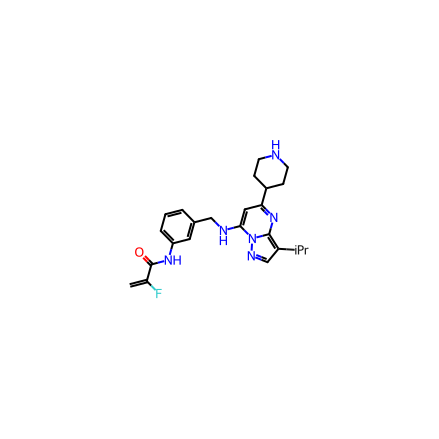 C=C(F)C(=O)Nc1cccc(CNc2cc(C3CCNCC3)nc3c(C(C)C)cnn23)c1